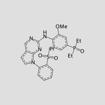 CCP(=O)(CC)c1ccc(Nc2ncc3ccn(-c4ccccc4S(=O)(=O)C(C)C)c3n2)c(OC)c1